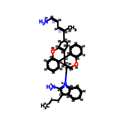 CCCc1c(N)n(C2=CC3Oc4ccccc4C4(C5=C(CC(/C(C)=C/C=C\N)CC5)Oc5ccccc54)C3CC2)c2ccccc12